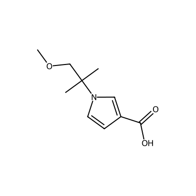 COCC(C)(C)n1ccc(C(=O)O)c1